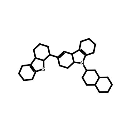 C1=C(C2CCCC3C4=C(CCCC4)SC23)CCC2C1C1=C(CCCC1)N2C1CCC2CCCCC2C1